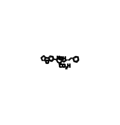 O=C(O)[C@@H](CCCCCc1ccccc1)CC(=NO)c1ccc2c3c(oc2c1)CCC3